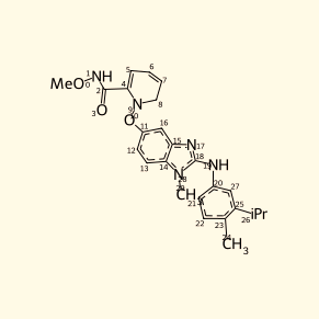 CONC(=O)C1=CC=CCN1Oc1ccc2c(c1)nc(Nc1ccc(C)c(C(C)C)c1)n2C